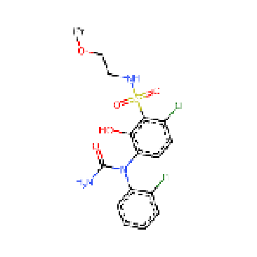 CC(C)OCCNS(=O)(=O)c1c(Cl)ccc(N(C(N)=O)c2ccccc2Cl)c1O